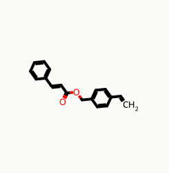 C=Cc1ccc(COC(=O)C=Cc2ccccc2)cc1